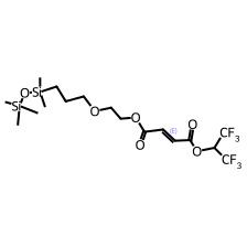 C[Si](C)(C)O[Si](C)(C)CCCOCCOC(=O)/C=C/C(=O)OC(C(F)(F)F)C(F)(F)F